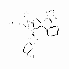 COCCN(CCOC)c1ccc(-c2ccccc2-c2nnn[nH]2)cc1NC(=O)Nc1ccc(C)cc1